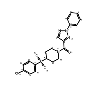 O=C(c1cnn(-c2ccccc2)n1)N1CCC(S(=O)(=O)c2ccc(Cl)cc2)CC1